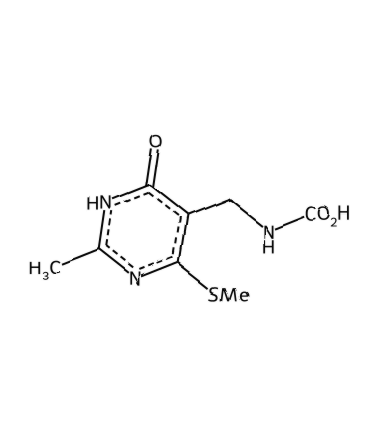 CSc1nc(C)[nH]c(=O)c1CNC(=O)O